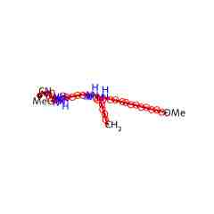 C=CCOCCOCCOCCOCCC(=O)N(CC(=O)NCCOCCOCCCOCOCCOCCOCCOCCOCCOCCOCCOCCOC)CC(=O)NCCn1cc(COCCOCCOCCONC(=O)c2ncn(-c3ncc(OC)c4c(C(=O)C(=O)N5CCC(=C(C#N)c6ccccc6)CC5)c[nH]c34)n2)nn1